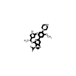 COc1cc(-c2cc3ncn(C(F)F)c3c(O[C@H](C)C3CNC(=O)C3)n2)ccc1N1CCNCC1